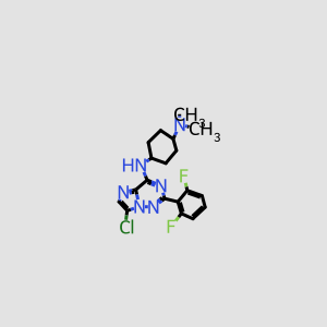 CN(C)C1CCC(Nc2nc(-c3c(F)cccc3F)nn3c(Cl)cnc23)CC1